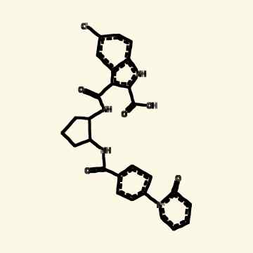 O=C(NC1CCCC1NC(=O)c1c(C(=O)O)[nH]c2ccc(Cl)cc12)c1ccc(-n2ccccc2=O)cc1